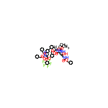 CC(C)(C)OC(=O)N[C@@H](C[C@@H](O)CNC(=O)OCc1ccccc1)C(=O)N[C@@H](Cc1cccc(-c2ccc(OCc3ccccc3)c(C[C@H](NC(=O)OCc3ccccc3)C(=O)Oc3c(F)c(F)c(F)c(F)c3F)c2)c1)C(=O)OCc1ccccc1